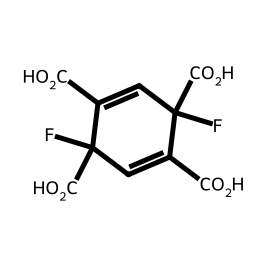 O=C(O)C1=CC(F)(C(=O)O)C(C(=O)O)=CC1(F)C(=O)O